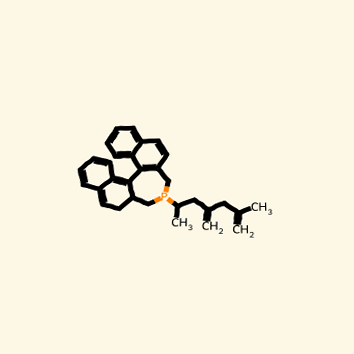 C=C(C)CC(=C)CC(C)P1Cc2ccc3ccccc3c2C2=c3ccccc3=CCC2C1